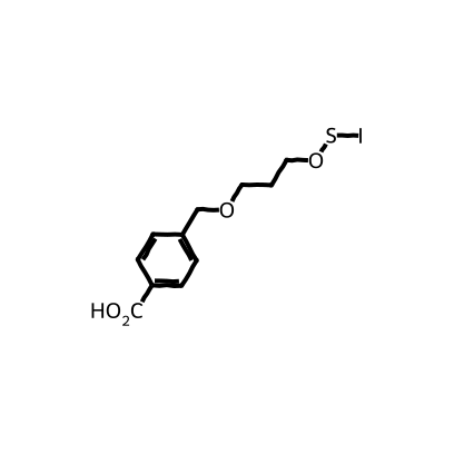 O=C(O)c1ccc(COCCCOSI)cc1